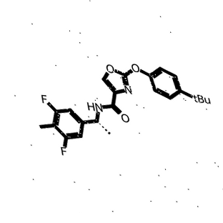 Cc1c(F)cc([C@@H](C)NC(=O)c2coc(Oc3ccc(C(C)(C)C)cc3)n2)cc1F